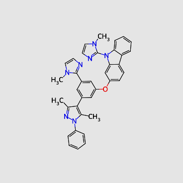 Cc1nn(-c2ccccc2)c(C)c1-c1cc(Oc2ccc3c4ccccc4n(-c4nccn4C)c3c2)cc(-c2nccn2C)c1